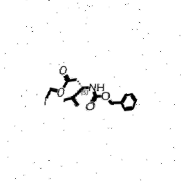 CC(C)[C@H](CC(=O)OCI)NC(=O)OCc1ccccc1